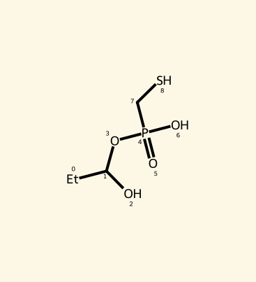 CCC(O)OP(=O)(O)CS